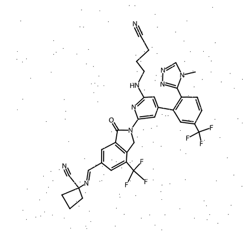 Cn1cnnc1-c1ccc(C(F)(F)F)cc1-c1cc(NCCCC#N)nc(N2Cc3c(cc(/C=N/C4(C#N)CCC4)cc3C(F)(F)F)C2=O)c1